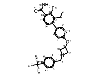 CCc1c(-c2ccc(OC3CN(Cc4ccc(C(F)(F)F)cc4)C3)nc2)ccc(C(N)=O)c1F